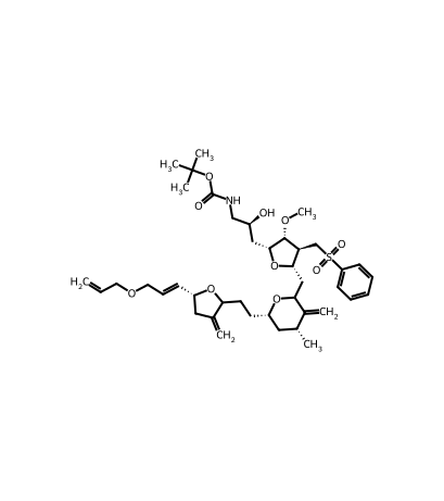 C=CCOC/C=C/[C@H]1CC(=C)C(CC[C@H]2C[C@@H](C)C(=C)C(C[C@@H]3O[C@H](C[C@H](O)CNC(=O)OC(C)(C)C)[C@H](OC)[C@H]3CS(=O)(=O)c3ccccc3)O2)O1